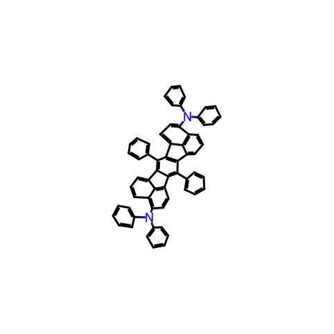 c1ccc(-c2c3c4cccc5c(N(c6ccccc6)c6ccccc6)ccc(c3c(-c3ccccc3)c3c6cccc7c(N(c8ccccc8)c8ccccc8)ccc(c23)c76)c54)cc1